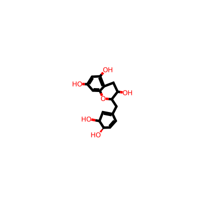 Oc1cc(O)c2c(c1)OC(CC1=CC(O)[C@H](O)C=C1)C(O)C2